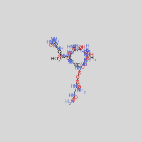 C[C@H](O)[C@H]1NC(=O)[C@@H](Cc2cnc[nH]2)NC(=O)[C@@H](CO)NC(=O)[C@@H](Cc2cnc[nH]2)NC(=O)[C@@H](NC(=O)CC[C@H](NC(=O)c2ccc(NCc3cnc4nc(N)[nH]c(=O)c4n3)cc2)C(=O)O)Cc2cn(nn2)CCCC[C@@H](C(=O)NCCOCCOCCOCC(=O)N[C@@H](CCCCNC(=O)CON)C(N)=O)NC(=O)[C@@H](F)NC1=O